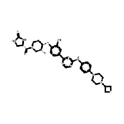 N#Cc1cc(-c2ncnc(Nc3ccc(N4CCN(C5COC5)CC4)cc3)n2)ccc1O[C@H]1CCN(C(=O)[C@@H]2CNC(=O)N2)C[C@H]1F